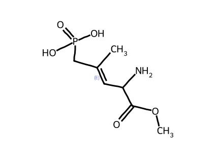 COC(=O)C(N)/C=C(\C)CP(=O)(O)O